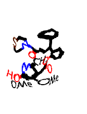 COc1c(O)nc(C)c(C(=O)Oc2ccccc2C(CCC(=O)N2CCSCC2)c2ccccc2)c1OC